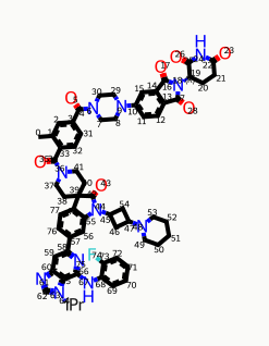 Cc1cc(C(=O)N2CCN(c3ccc4c(c3)C(=O)N([C@@H]3CCC(=O)NC3=O)C4=O)CC2)ccc1C(=O)N1CCC2(CC1)C(=O)N(C1CC(N3CCCCC3)C1)c1cc(-c3cc4ncn(C(C)C)c4c(Nc4ccccc4F)n3)ccc12